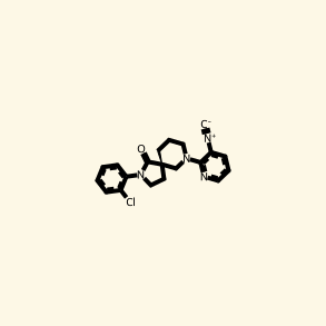 [C-]#[N+]c1cccnc1N1CCC[C@]2(CCN(c3ccccc3Cl)C2=O)C1